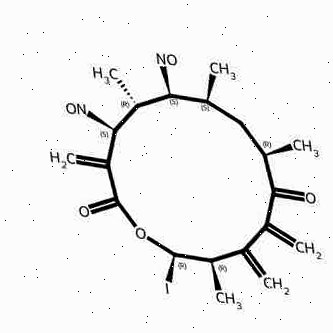 C=C1C(=C)[C@@H](C)[C@@H](I)OC(=O)C(=C)[C@@H](N=O)[C@H](C)[C@@H](N=O)[C@@H](C)C[C@@H](C)C1=O